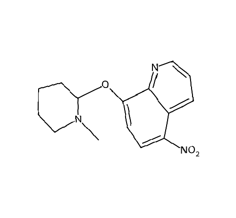 CN1CCCCC1Oc1ccc([N+](=O)[O-])c2cccnc12